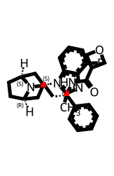 Cc1nc2c(F)cccc2n1[C@@H]1C[C@H]2CC[C@@H](C1)N2CC[C@H](NC(=O)C1COC1)c1ccccc1